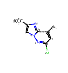 CC(C)(C)c1cc(Cl)nn2cc(C(=O)O)nc12